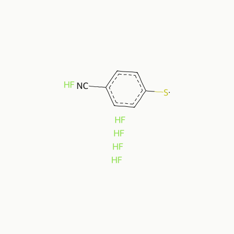 F.F.F.F.F.N#Cc1ccc([S])cc1